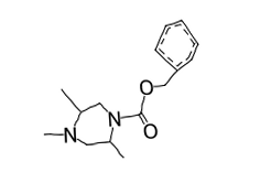 CC1CN(C(=O)OCc2ccccc2)C(C)CN1C